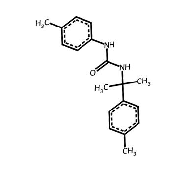 Cc1ccc(NC(=O)NC(C)(C)c2ccc(C)cc2)cc1